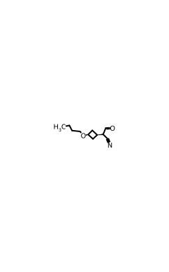 CCCCO[C@H]1C[C@@H](C(C#N)C=O)C1